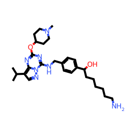 CC(C)c1cnn2c(NCc3ccc(C(O)CCCCCCN)cc3)nc(OC3CCN(C)CC3)nc12